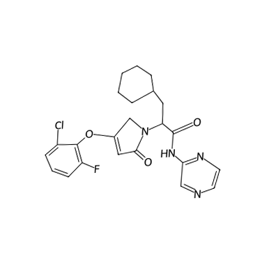 O=C(Nc1cnccn1)C(CC1CCCCC1)N1CC(Oc2c(F)cccc2Cl)=CC1=O